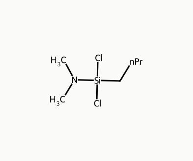 CCCC[Si](Cl)(Cl)N(C)C